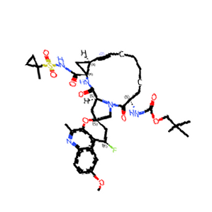 COc1ccc2nc(C)c3c(c2c1)[C@H](F)C[C@]1(C[C@H]2C(=O)N[C@]4(C(=O)NS(=O)(=O)C5(C)CC5)C[C@H]4/C=C\CCCCC[C@H](NC(=O)OCC(C)(C)C)C(=O)N2C1)O3